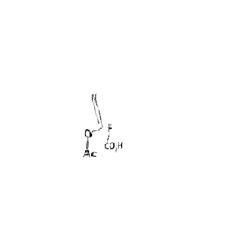 C=COC(C)=O.O=C(O)F